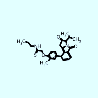 CCCNC(=S)COc1ccc(C2C=CC=C3C(=O)N4C(=C32)CC(=O)C4C(C)C)cc1C